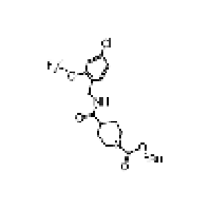 CC(C)(C)OC(=O)N1CCC(C(=O)NCc2ccc(Cl)cc2OC(F)(F)F)CC1